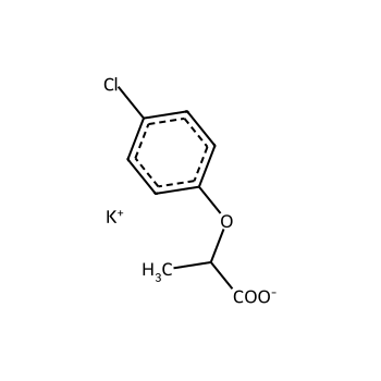 CC(Oc1ccc(Cl)cc1)C(=O)[O-].[K+]